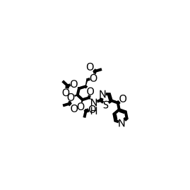 CC(=O)OC[C@H]1O[C@H](Nc2ncc(C(=O)c3ccncc3)s2)[C@@H](OC(C)=O)[C@@H](OC(C)=O)[C@@H]1OC(C)=O